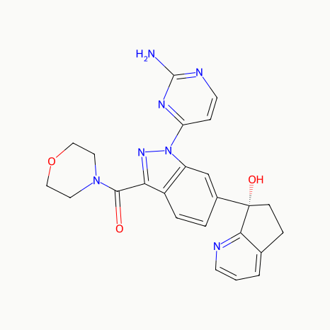 Nc1nccc(-n2nc(C(=O)N3CCOCC3)c3ccc([C@@]4(O)CCc5cccnc54)cc32)n1